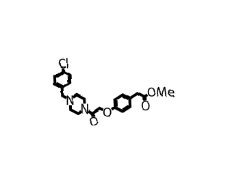 COC(=O)Cc1ccc(OCC(=O)N2CCN(Cc3ccc(Cl)cc3)CC2)cc1